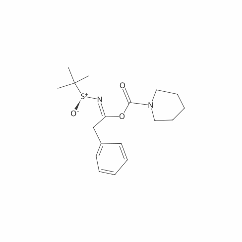 CC(C)(C)[S@+]([O-])/N=C(\Cc1ccccc1)OC(=O)N1CCCCC1